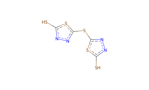 Sc1nnc(Sc2nnc(S)s2)s1